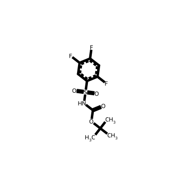 CC(C)(C)OC(=O)NS(=O)(=O)c1cc(F)c(F)cc1F